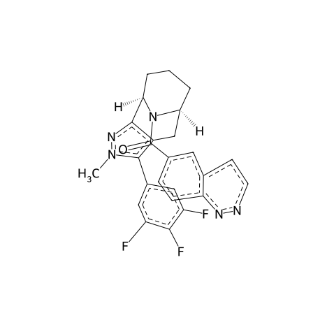 Cn1nc2c(c1-c1cc(F)c(F)c(F)c1)C[C@@H]1CCC[C@H]2N1C(=O)c1ccc2nnccc2c1